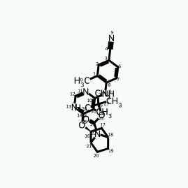 Cc1cc(C#N)ccc1Nc1ncnc(O[C@H]2CC3CCC2N3C(=O)OC(C)(C)C)c1C